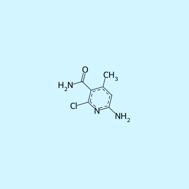 Cc1cc(N)nc(Cl)c1C(N)=O